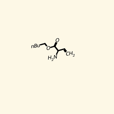 C=C[C](N)C(=O)OCCCCC